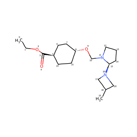 CCOC(=O)[C@H]1CC[C@H](OCN2CCC[C@H]2N2CC(C)C2)CC1